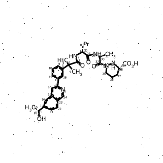 CC(C)[C@H](NC(=O)C(C)(C)c1cccc(-c2cc3cc([C@@H](C)O)ccc3cn2)c1)C(=O)N[C@@H](C)C(=O)N1CCC[C@@H](C(=O)O)N1